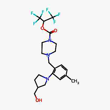 Cc1ccc(CN2CCN(C(=O)OC(C(F)(F)F)C(F)(F)F)CC2)c(N2CCC(CO)C2)c1